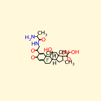 C[C@H](N)C(=O)NCC(=O)C1=C[C@@]2(C)C(=CC1=O)CC[C@H]1[C@@H]3C[C@@H](C)[C@](O)(C(=O)CO)[C@@]3(C)C[C@H](O)[C@@]12F